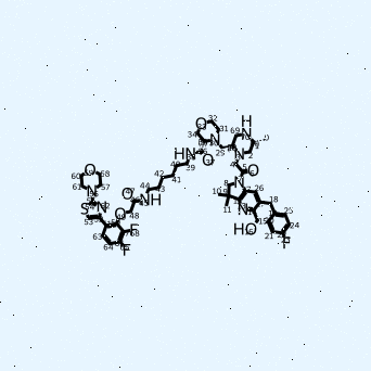 C[C@@H]1CN(CC(=O)N2CC(C)(C)c3nc(CO)c(Cc4ccc(F)cc4)cc32)[C@@H](CN2CCOC[C@H]2C(=O)NCCCCCCNC(=O)COc2c(-c3csc(N4CCOCC4)n3)ccc(F)c2F)CN1